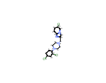 Clc1ccc(N2CCN(Cc3cn4cc(Cl)ccc4n3)CC2)c(Cl)c1